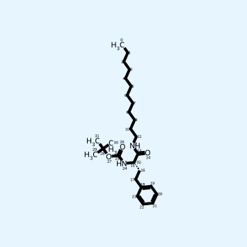 CCCCCCCCCCCCNC(=O)[C@H](CCc1ccccc1)NC(=O)OC(C)(C)C